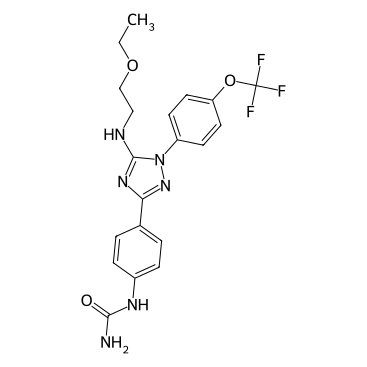 CCOCCNc1nc(-c2ccc(NC(N)=O)cc2)nn1-c1ccc(OC(F)(F)F)cc1